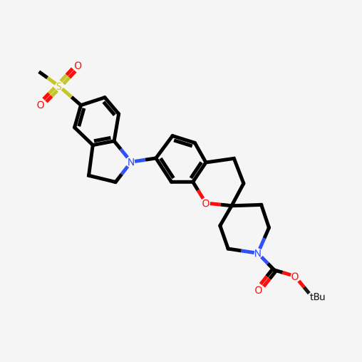 CC(C)(C)OC(=O)N1CCC2(CCc3ccc(N4CCc5cc(S(C)(=O)=O)ccc54)cc3O2)CC1